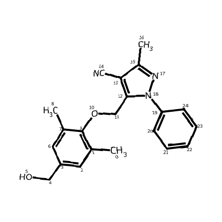 Cc1cc(CO)cc(C)c1OCc1c(C#N)c(C)nn1-c1ccccc1